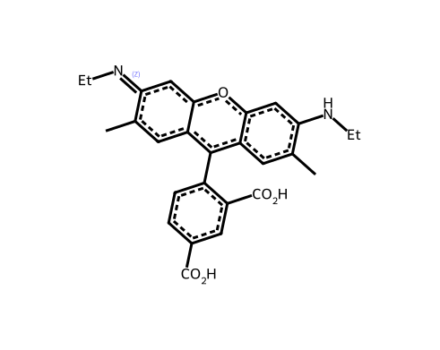 CC/N=c1/cc2oc3cc(NCC)c(C)cc3c(-c3ccc(C(=O)O)cc3C(=O)O)c-2cc1C